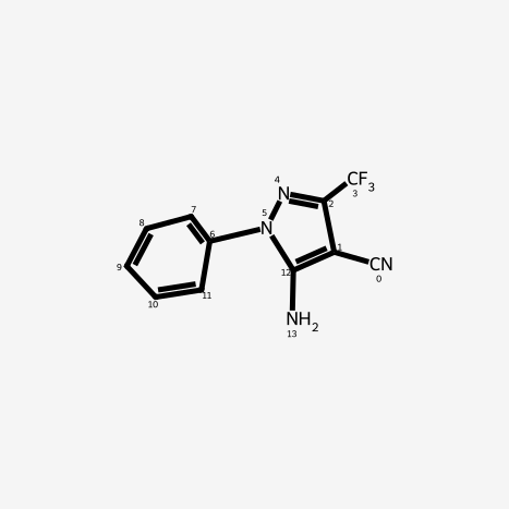 N#Cc1c(C(F)(F)F)nn(-c2ccccc2)c1N